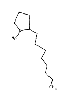 CCCCCCCCC1CCCN1C